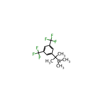 [CH3][Bi]([CH3])[C](C)(C)c1cc(C(F)(F)F)cc(C(F)(F)F)c1